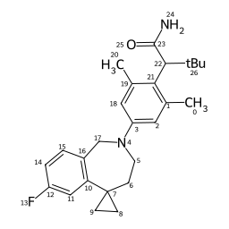 Cc1cc(N2CCC3(CC3)c3cc(F)ccc3C2)cc(C)c1C(C(N)=O)C(C)(C)C